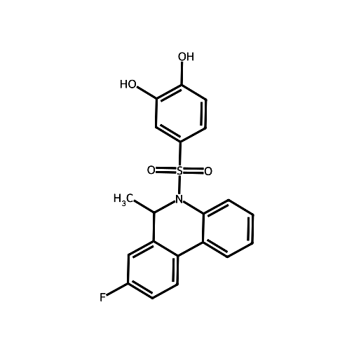 CC1c2cc(F)ccc2-c2ccccc2N1S(=O)(=O)c1ccc(O)c(O)c1